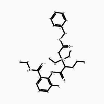 CCCC(C(=O)Nc1c(C)cccc1C(=O)OCC)[N+](CC)(CC)CC(=O)OCc1ccccc1